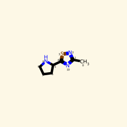 Cc1nsc(C2CCCN2)n1